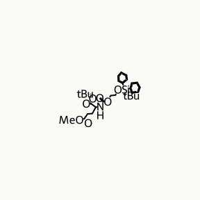 COC(=O)CCC(NC(=O)OCCO[Si](c1ccccc1)(c1ccccc1)C(C)(C)C)C(=O)OC(C)(C)C